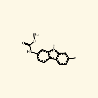 Cc1ccc2c(c1)[nH]c1cc(NC(=O)OC(C)(C)C)ccc12